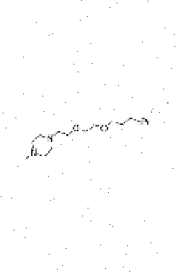 CC(C)CCCOCCOCCN1CCN(C)CC1